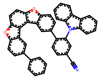 N#Cc1ccc(-c2ccc3oc4ccc5oc6ccc(-c7ccccc7)cc6c5c4c3c2)c(-n2c3ccccc3c3ccccc32)c1